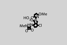 CNc1c(Nc2ccc(Cl)c3c2C(=O)N(c2nc(OC)ccc2C(=O)O)C3)c(=O)c1=O